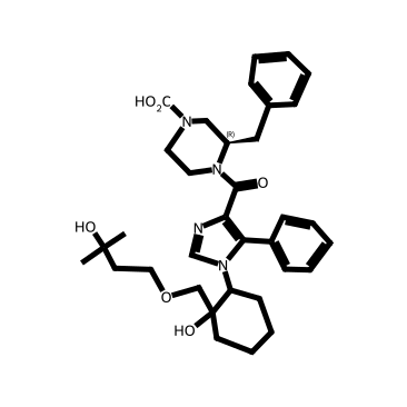 CC(C)(O)CCOCC1(O)CCCCC1n1cnc(C(=O)N2CCN(C(=O)O)C[C@H]2Cc2ccccc2)c1-c1ccccc1